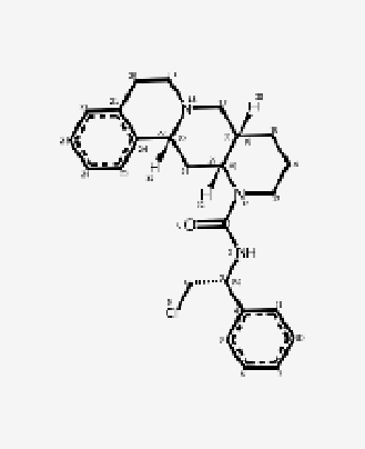 O=C(N[C@@H](CCl)c1ccccc1)N1CCC[C@H]2CN3CCc4ccccc4[C@H]3C[C@H]21